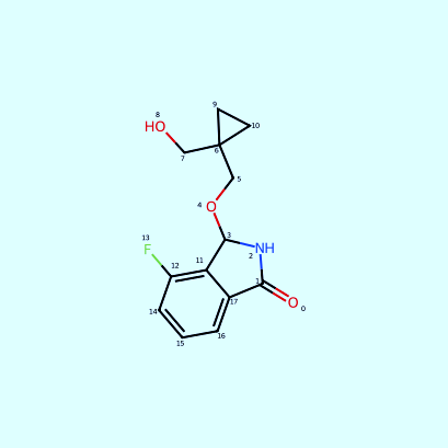 O=C1NC(OCC2(CO)CC2)c2c(F)cccc21